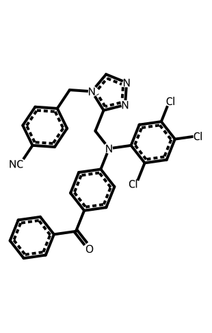 N#Cc1ccc(Cn2cnnc2CN(c2ccc(C(=O)c3ccccc3)cc2)c2cc(Cl)c(Cl)cc2Cl)cc1